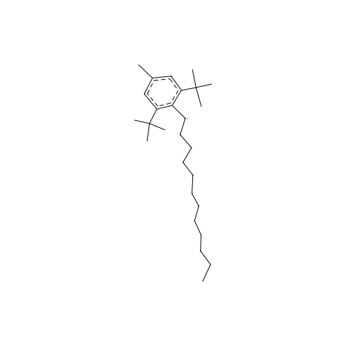 CCCCCCCCCCC[CH]c1c(C(C)(C)C)cc(C)cc1C(C)(C)C